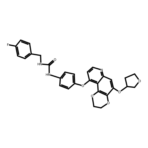 O=C(NCc1ccc(F)cc1)Nc1ccc(Oc2ccnc3cc(OC4CCOC4)c4c(c23)OCCO4)cc1